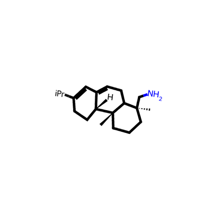 CC(C)C1=CC2=CCC3[C@@](C)(CN)CCC[C@]3(C)[C@@H]2CC1